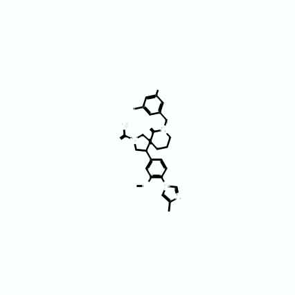 COc1cc(C2CN(C(N)=O)CC23CCCN([C@@H](C)c2cc(F)cc(Cl)c2)C3=O)ccc1-n1cnc(C)c1